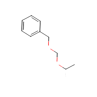 C[C@H](C=O)OCOCc1ccccc1